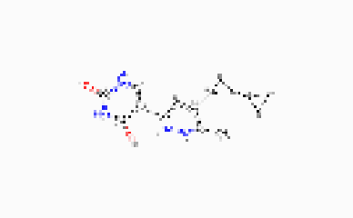 Cc1nnc(-c2c[nH]c(=O)[nH]c2=O)cc1C1CC1C1CC1